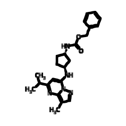 Cc1cnn2c(N[C@H]3CC[C@H](NC(=O)OCc4ccccc4)C3)cc(C(C)C)nc12